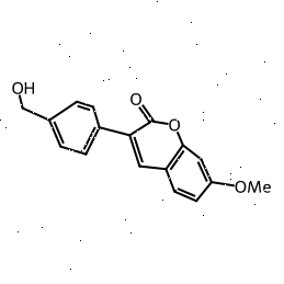 COc1ccc2cc(-c3ccc(CO)cc3)c(=O)oc2c1